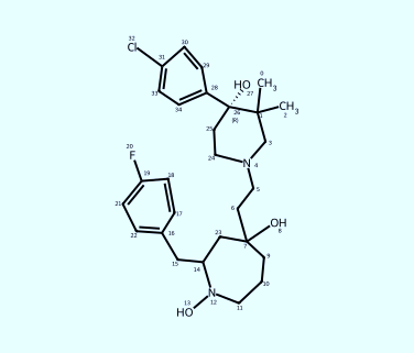 CC1(C)CN(CCC2(O)CCCN(O)C(Cc3ccc(F)cc3)C2)CC[C@@]1(O)c1ccc(Cl)cc1